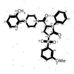 COc1cccc(S(=O)(=O)N2C[C@@H](C(=O)N3CCN(c4ncccc4C)CC3)N(c3ccccc3)C2=O)c1